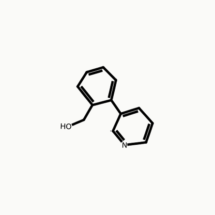 OCc1ccccc1-c1[c]nccc1